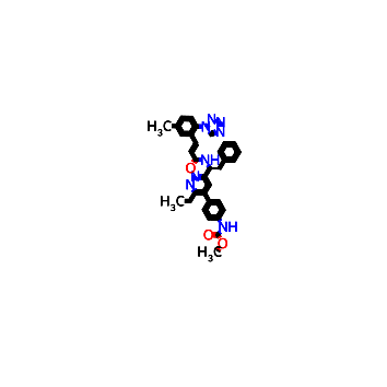 CCc1nnc([C@H](Cc2ccccc2)NC(=O)/C=C/c2cc(C)ccc2-n2cnnn2)cc1-c1ccc(NC(=O)OC)cc1